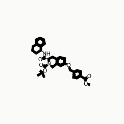 COC(=O)c1ccc(COc2ccc3c(c2)CN(C(=O)OC(C)(C)C)[C@H](C(=O)N[C@@H]2CCCc4ccccc42)C3)cc1